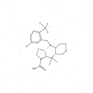 CC(C)(C)C1[C@@H](N(Cc2cc(F)ccc2C(F)(F)F)C2CCOCC2)CCN1C(=O)O